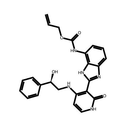 C=CCOC(=O)Nc1cccc2nc(-c3c(NC[C@H](O)c4ccccc4)cc[nH]c3=O)[nH]c12